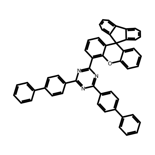 c1ccc(-c2ccc(-c3nc(-c4ccc(-c5ccccc5)cc4)nc(-c4cccc5c4Oc4ccccc4C54c5ccccc5-c5ccccc54)n3)cc2)cc1